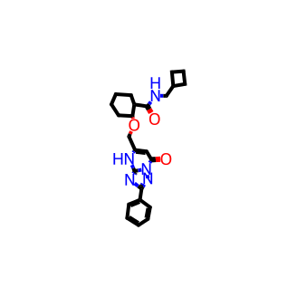 O=C(NCC1CCC1)C1CCCCC1OCc1cc(=O)n2nc(-c3ccccc3)nc2[nH]1